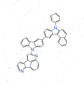 c1ccc(-n2c3ccc(-c4ccc5c(c4)c4ccccc4n5-c4cc5c6c(cccc6n4)-c4ncccc4-5)cc3c3c4ccccc4ccc32)cc1